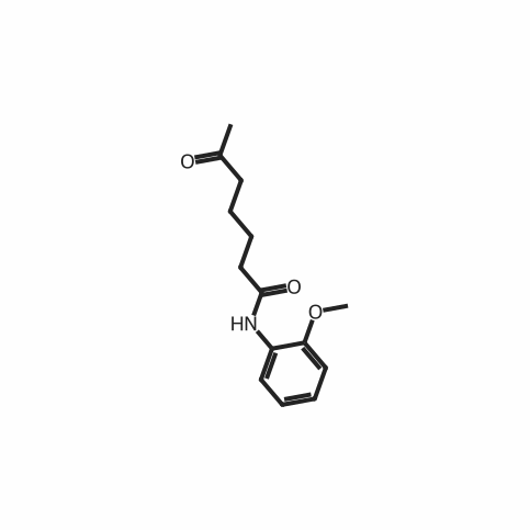 COc1ccccc1NC(=O)CCCCC(C)=O